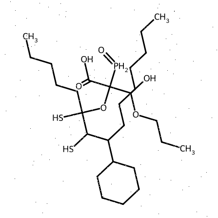 CCCCCCCC(C1CCCCC1)C(S)C(S)(CCCCC)OC([PH2]=O)(C(=O)O)C(O)OCCC